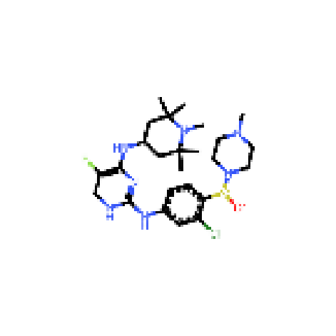 CN1CCN([S+]([O-])c2ccc(NC3=NC(NC4CC(C)(C)N(C)C(C)(C)C4)=C(F)CN3)cc2Cl)CC1